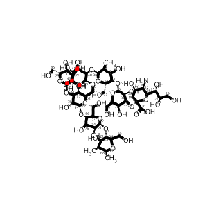 CC1C(O)[C@H](O[C@@H]2OC(CO)[C@H](O)C(O[C@]3(C(=O)O)C[C@@H](O)[C@@H](N)C([C@H](O)[C@H](O)CO)O3)[C@@H]2O)[C@H](CO)O[C@H]1O[C@@H]1C(O)[C@H](O)C(CO)O[C@@H]1OCC1O[C@@H](O[C@@H]2C(CO)O[C@@H](O[C@@H]3C(CO)O[C@@H](C)[C@@H](C)C3O)[C@@H](C)C2O)[C@H](O)C(O[C@H]2O[C@H](CO)[C@@H](O)C(O)C2O)[C@@H]1O